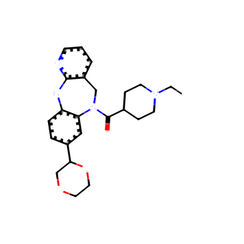 O=C(C1CCN(CC(F)(F)F)CC1)N1Cc2cccnc2Nc2ccc(C3COCCO3)cc21